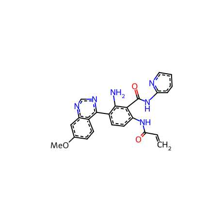 C=CC(=O)Nc1ccc(-c2ncnc3cc(OC)ccc23)c(N)c1C(=O)Nc1ccccn1